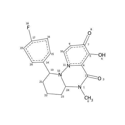 CN1C(=O)c2c(O)c(=O)ccn2N2C(c3ccc(F)cc3)CCCC12